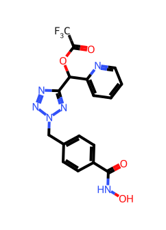 O=C(NO)c1ccc(Cn2nnc(C(OC(=O)C(F)(F)F)c3ccccn3)n2)cc1